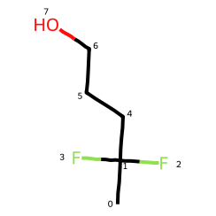 CC(F)(F)CCCO